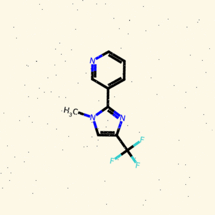 Cn1cc(C(F)(F)F)nc1-c1cccnc1